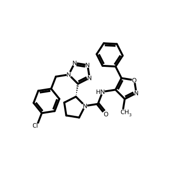 Cc1noc(-c2ccccc2)c1NC(=O)N1CCC[C@@H]1c1nnnn1Cc1ccc(Cl)cc1